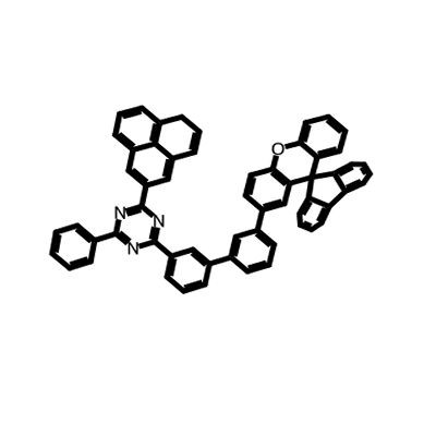 C1=Cc2cc(-c3nc(-c4ccccc4)nc(-c4cccc(-c5cccc(-c6ccc7c(c6)C6(c8ccccc8O7)c7ccccc7-c7ccccc76)c5)c4)n3)cc3cccc(c23)C1